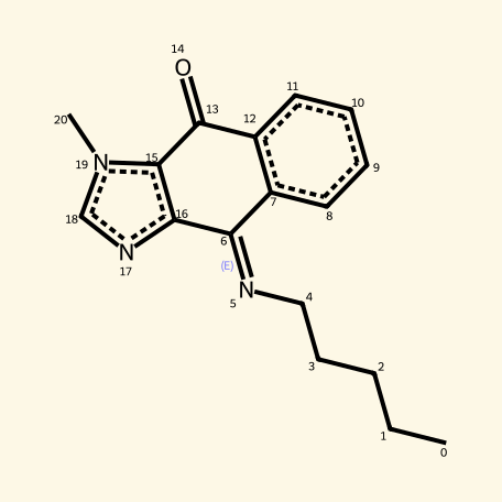 CCCCC/N=C1\c2ccccc2C(=O)c2c1ncn2C